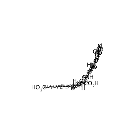 O=C(O)CCCCCCCCCCCCCCCCCCC(=O)NC[C@H]1CC[C@H](C(=O)N[C@@H](CCC(=O)NCCOCCOCC(=O)NCCOCCOCC(=O)Oc2ccc(Cl)cc2Cl)C(=O)O)CC1